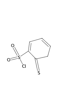 O=S(=O)(Cl)C1=CC=CCC1=S